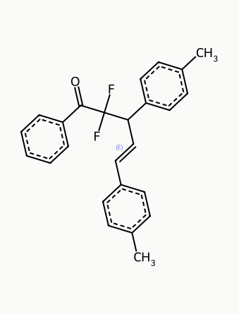 Cc1ccc(/C=C/C(c2ccc(C)cc2)C(F)(F)C(=O)c2ccccc2)cc1